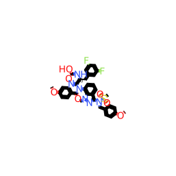 COc1ccc(CN(c2nn(C)c3c(-n4c([C@H](Cc5cc(F)cc(F)c5)NC(=O)O)nc5cc(OC)ccc5c4=O)cccc23)S(C)(=O)=O)cc1